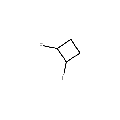 F[C]1CCC1F